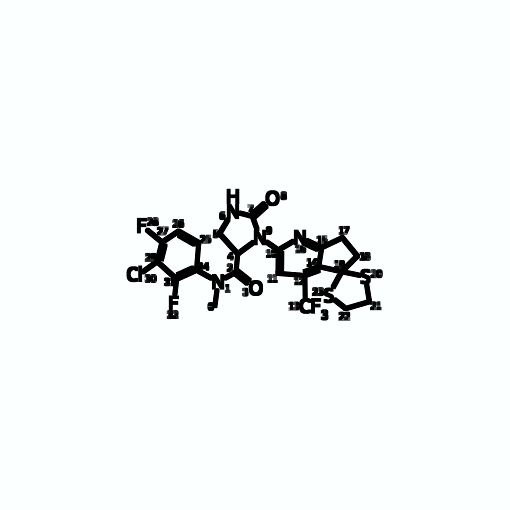 CN(C(=O)C1CNC(=O)N1c1cc(C(F)(F)F)c2c(n1)CCC21SCCS1)c1ccc(F)c(Cl)c1F